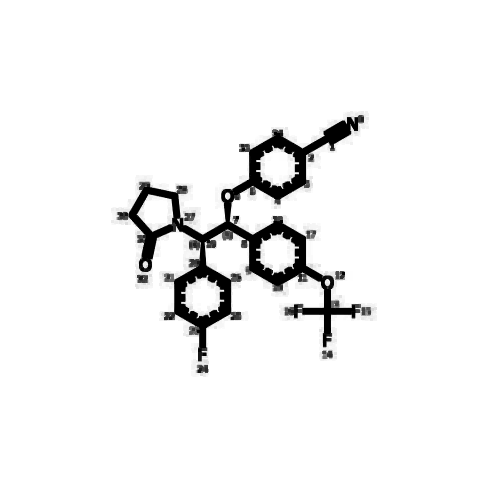 N#Cc1ccc(O[C@@H](c2ccc(OC(F)(F)F)cc2)[C@@H](c2ccc(F)cc2)N2CCCC2=O)cc1